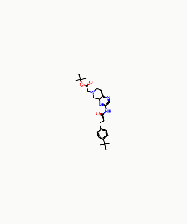 CC(C)(C)OC(=O)CN1CCc2ncc(NC(=O)CCc3ccc(C(C)(C)C)cc3)nc2C1